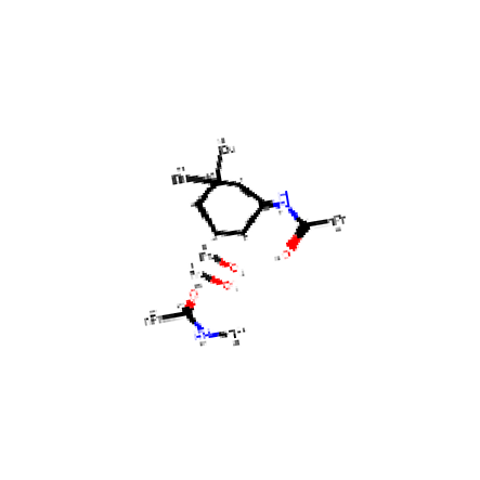 CC(C)[O-].CC(C)[O-].CCCC(=O)NC1CCCC(C(C)CC)(C(C)CC)C1.CCCC(=O)[NH][Ti+2]